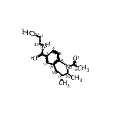 CC(=O)N1c2ccc(C(=O)NCCO)cc2C[C@@H](C)[C@@H]1C